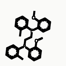 COc1ccccc1P(CCP(c1ccccc1C)c1ccccc1OC)c1ccccc1C